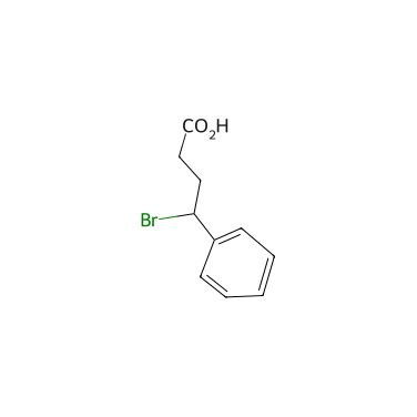 O=C(O)CCC(Br)c1ccccc1